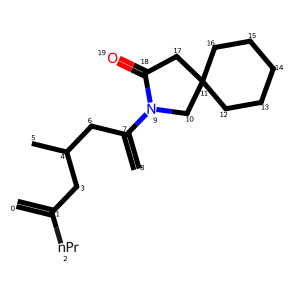 C=C(CCC)CC(C)CC(=C)N1CC2(CCCCC2)CC1=O